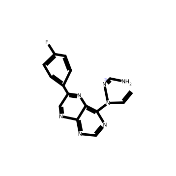 C=CN(/N=C\N)c1ncnc2ncc(-c3ccc(F)cc3)nc12